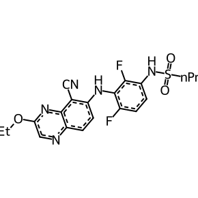 CCCS(=O)(=O)Nc1ccc(F)c(Nc2ccc3ncc(OCC)nc3c2C#N)c1F